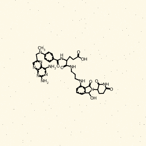 CN(Cc1cnc2nc(N)nc(N)c2n1)c1ccc(C(=O)NC(CCC(=O)O)C(=O)NCCCNc2cccc3c2C(=O)N(C2CCC(=O)NC2=O)C3O)cc1